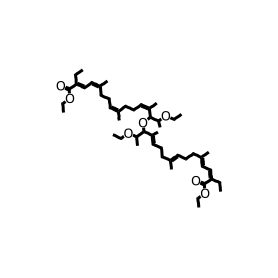 CCOC(=O)C(=CC=C(C)CCC=C(C)CCC=C(C)C(OC(C(C)=CCCC(C)=CCCC(C)=CC=C(CC)C(=O)OCC)C(C)OCC)C(C)OCC)CC